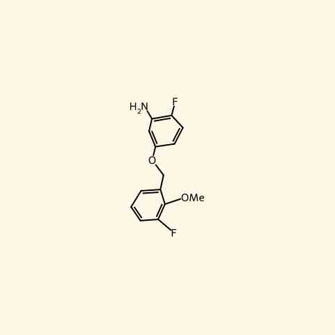 COc1c(F)cccc1COc1ccc(F)c(N)c1